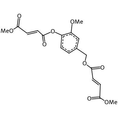 COC(=O)/C=C/C(=O)OCc1ccc(OC(=O)/C=C/C(=O)OC)c(OC)c1